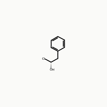 O[C@H](Cl)Cc1ccccc1